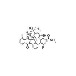 Cn1c(=O)n(-c2cccc(C3=C(F)C[C@H](C(N)=O)c4[nH]c5cc(C(C)(C)O)ccc5c43)c2Cl)c(=O)c2cccc(F)c21